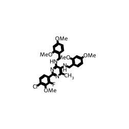 COc1ccc(CNc2nc(-c3ccc(Cl)c(OC)c3F)nc(C)c2NCc2ccc(OC)cc2OC)c(OC)c1